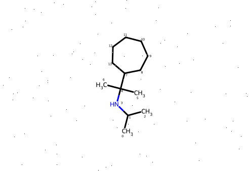 CC(C)NC(C)(C)C1CCCCCC1